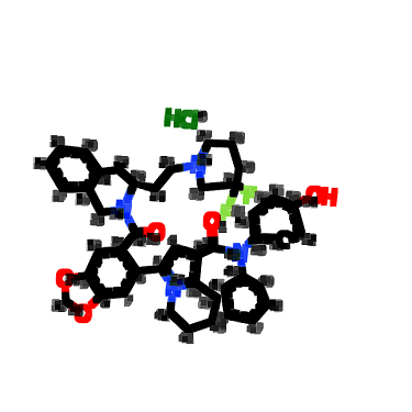 Cl.O=C(c1cc(-c2cc3c(cc2C(=O)N2Cc4ccccc4C[C@H]2CCN2CCCC(F)(F)C2)OCO3)n2c1CCCC2)N(c1ccccc1)c1ccc(O)cc1